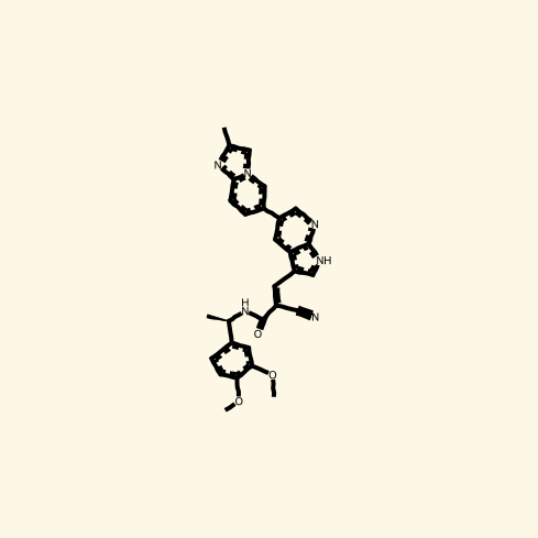 COc1ccc([C@@H](C)NC(=O)/C(C#N)=C/c2c[nH]c3ncc(-c4ccc5nc(C)cn5c4)cc23)cc1OC